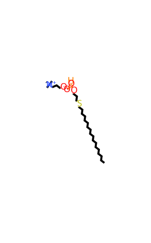 CCCCCCCCCCCCCCCCCCSCCCO[PH](=O)OOCCC[N+](C)(C)C